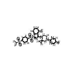 CC(C)S(=O)(=O)c1ccc(S(=O)(=O)n2nc(N3CCN(c4ncc(F)cn4)CC34CC4)c3c(F)cccc32)cc1